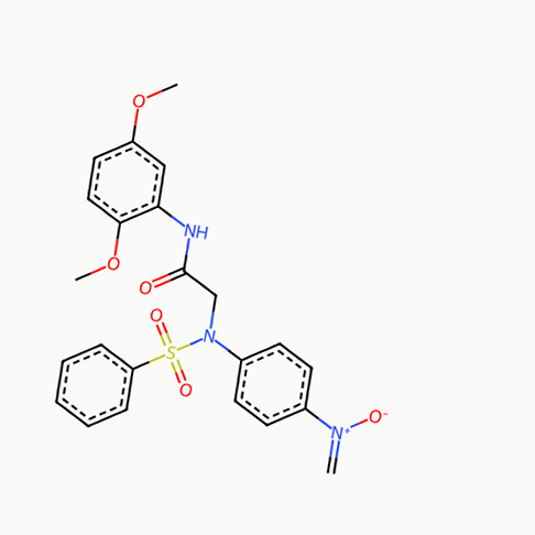 C=[N+]([O-])c1ccc(N(CC(=O)Nc2cc(OC)ccc2OC)S(=O)(=O)c2ccccc2)cc1